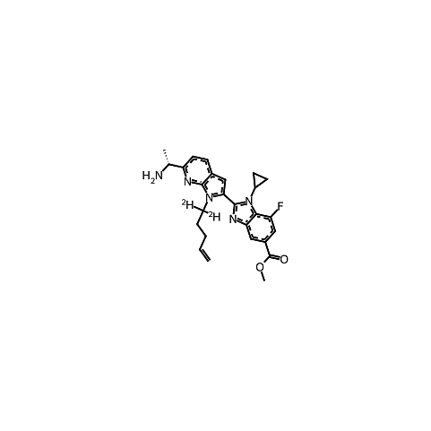 [2H]C([2H])(CCC=C)n1c(-c2nc3cc(C(=O)OC)cc(F)c3n2C2CC2)cc2ccc([C@@H](C)N)nc21